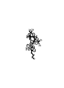 CCCCC(=O)NS(=O)(=O)OC[C@@]12OC[C@H]3OC(C)(C)O[C@H]3C1OC(C)(C)O2